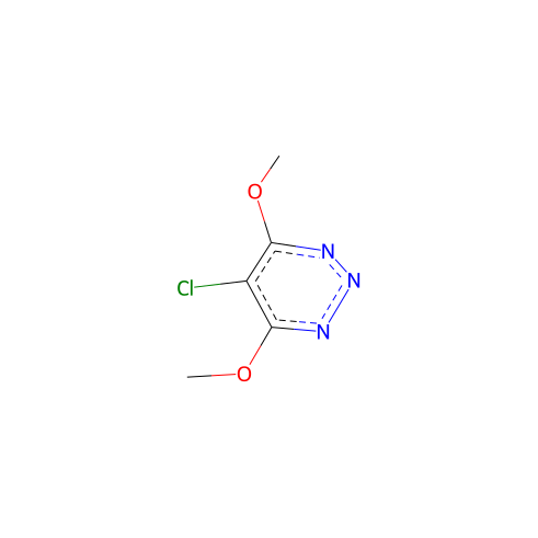 COc1nnnc(OC)c1Cl